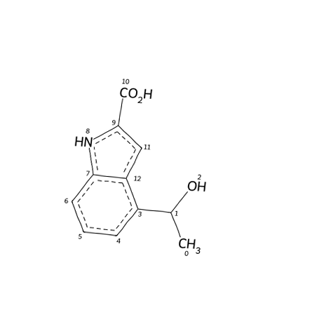 CC(O)c1cccc2[nH]c(C(=O)O)cc12